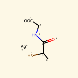 CC(S)C(=O)NCC(=O)[O-].[Ag+]